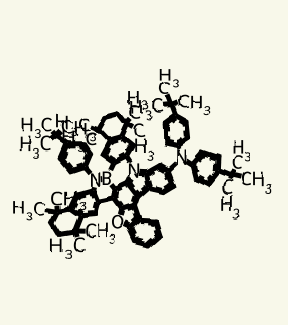 CC(C)(C)c1ccc(N2B3c4cc5c(cc4-n4c6cc(N(c7ccc(C(C)(C)C)cc7)c7ccc(C(C)(C)C)cc7)ccc6c6c7c(oc8ccccc87)c(c3c64)-c3cc4c(cc32)C(C)(C)CCC4(C)C)C(C)(C)CCC5(C)C)cc1